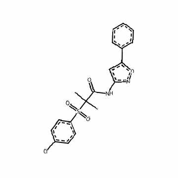 CC(C)(C(=O)Nc1cc(-c2ccccc2)on1)S(=O)(=O)c1ccc(Cl)cc1